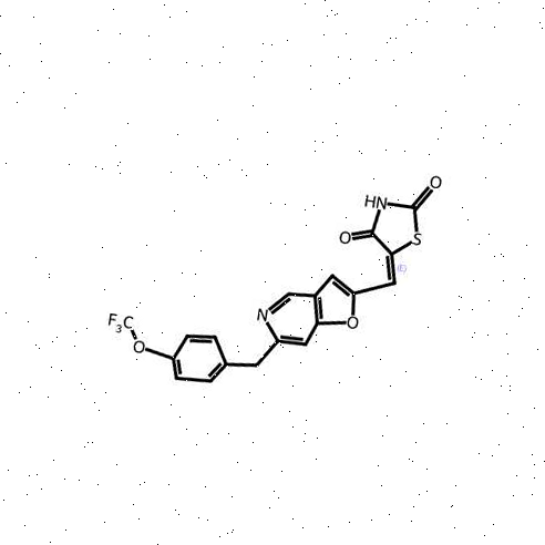 O=C1NC(=O)/C(=C\c2cc3cnc(Cc4ccc(OC(F)(F)F)cc4)cc3o2)S1